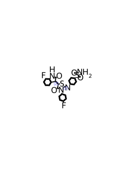 NS(=O)(=O)c1ccc(/N=C2\S/C(=C3\C(=O)Nc4c(F)cccc43)C(=O)N2c2ccc(F)cc2)cc1